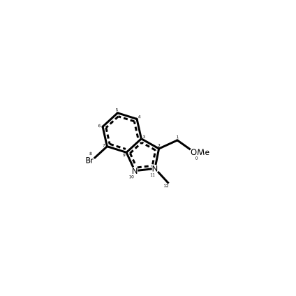 COCc1c2cccc(Br)c2nn1C